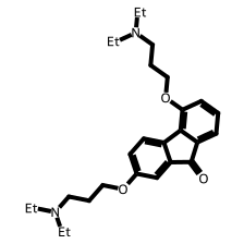 CCN(CC)CCCOc1ccc2c(c1)C(=O)c1cccc(OCCCN(CC)CC)c1-2